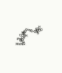 CNC(=O)COc1cc2c(F)c(Nc3nc(N4CCC(OC5CC(N6CCC(c7ccc8c(c7)C(=O)N(C7CCC(=O)NC7=O)C8=O)CC6)C5)CC4)ncc3Cl)ccc2n(C(C)C)c1=O